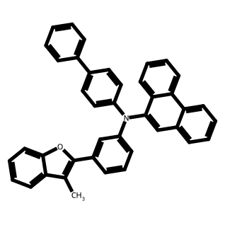 Cc1c(-c2cccc(N(c3ccc(-c4ccccc4)cc3)c3cc4ccccc4c4ccccc34)c2)oc2ccccc12